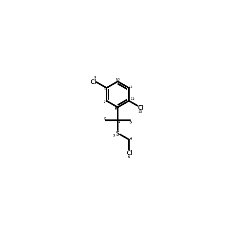 CC(C)(SCCl)c1cc(Cl)ccc1Cl